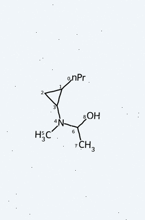 CCCC1CC1N(C)C(C)O